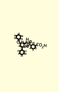 O=C(O)c1cccc(S(=O)(=O)Nc2nc(Oc3ccccc3)cc(-c3ccccc3)n2)c1